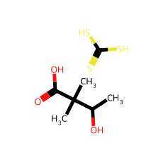 CC(O)C(C)(C)C(=O)O.S=C(S)S